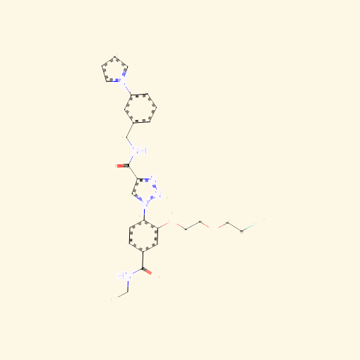 O=C(NCC(F)(F)F)c1ccc(-n2cc(C(=O)NCc3cccc(-n4cccc4)c3)nn2)c(OCCOCCF)c1